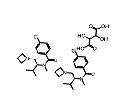 CC(C)C(CN1CCC1)N(C)C(=O)c1ccc(Cl)cc1.CC(C)[C@@H](CN1CCC1)N(C)C(=O)c1ccc(Cl)cc1.O=C(O)C(O)C(O)C(=O)O